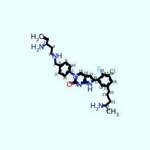 C=C[C@H](N)CCNCc1ccc(-n2cc3cc(-c4cc(CCC[C@H](C)N)cc(Cl)c4F)[nH]c3nc2=O)cc1